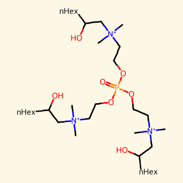 CCCCCCC(O)C[N+](C)(C)CCOP(=O)(OCC[N+](C)(C)CC(O)CCCCCC)OCC[N+](C)(C)CC(O)CCCCCC